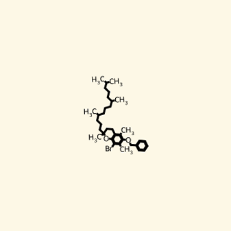 Cc1c(Br)c2c(c(C)c1OCc1ccccc1)CCC(C)(CCCC(C)CCCC(C)CCCC(C)C)O2